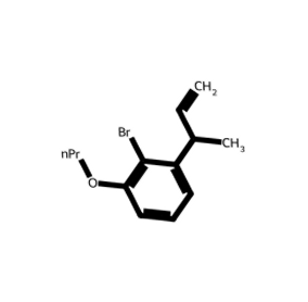 C=C[C](C)c1cccc(OCCC)c1Br